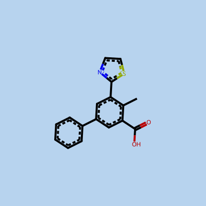 Cc1c(C(=O)O)cc(-c2ccccc2)cc1-c1nccs1